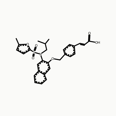 Cc1ccc(S(=O)(=O)N(CC(C)C)c2cc3ccccc3cc2OCc2ccc(C=CC(=O)O)cc2)o1